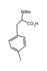 CNC(Cc1ccc(I)cc1)C(=O)O